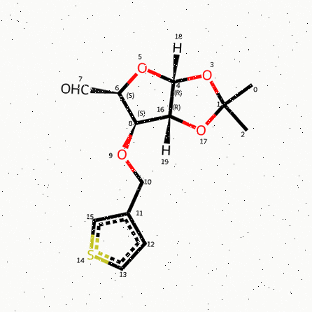 CC1(C)O[C@H]2O[C@H](C=O)[C@H](OCc3ccsc3)[C@H]2O1